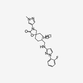 Cl.Cl.Cn1cc(N2CC3(CCC(CNc4ccn(-c5ccccc5F)n4)CC3)OC2=O)cn1